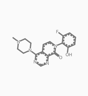 CN1CCN(c2ncnc3c(=O)n(-c4c(O)cccc4F)ccc23)CC1